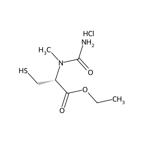 CCOC(=O)[C@H](CS)N(C)C(N)=O.Cl